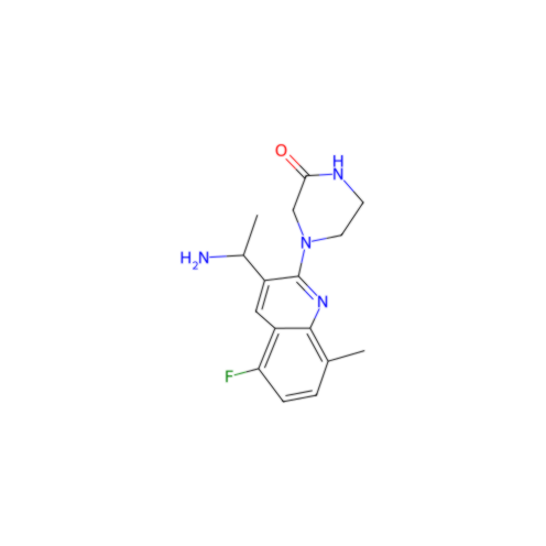 Cc1ccc(F)c2cc(C(C)N)c(N3CCNC(=O)C3)nc12